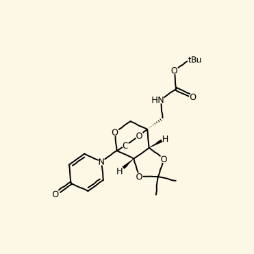 CC(C)(C)OC(=O)NC[C@@]12COC(n3ccc(=O)cc3)(CO1)[C@H]1OC(C)(C)O[C@H]12